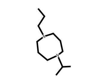 CCCN1CCCN(C(C)C)CCC1